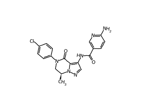 C[C@H]1CN(c2ccc(Cl)cc2)C(=O)c2c(NC(=O)c3ccc(N)nc3)cnn21